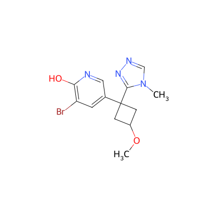 COC1CC(c2cnc(O)c(Br)c2)(c2nncn2C)C1